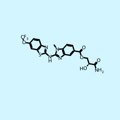 Cn1c(Nc2nc3ccc(OC(F)(F)F)cc3s2)nc2cc(C(=O)OC[C@H](O)C(N)=O)ccc21